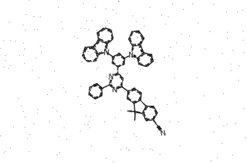 CC1(C)c2cc(C#N)ccc2-c2ccc(-c3cc(-c4cc(-n5c6ccccc6c6ccccc65)cc(-n5c6ccccc6c6ccccc65)c4)nc(-c4ccccc4)n3)cc21